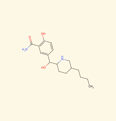 CCCCC1CCC(C(O)c2ccc(O)c(C(N)=O)c2)NC1